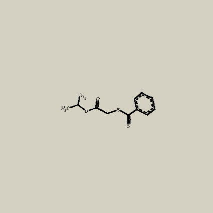 CC(C)OC(=O)CSC(=S)c1ccccc1